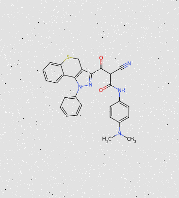 CN(C)c1ccc(NC(=O)C(C#N)C(=O)c2nn(-c3ccccc3)c3c2CSc2ccccc2-3)cc1